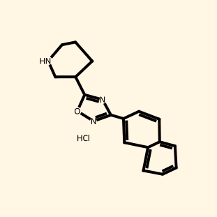 Cl.c1ccc2cc(-c3noc(C4CCCNC4)n3)ccc2c1